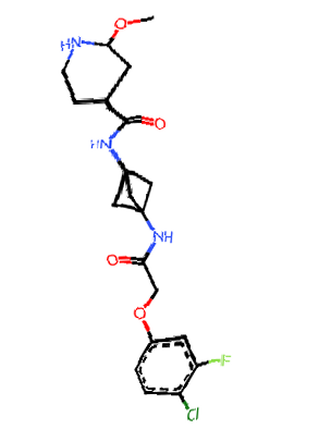 COC1CC(C(=O)NC23CC(NC(=O)COc4ccc(Cl)c(F)c4)(C2)C3)CCN1